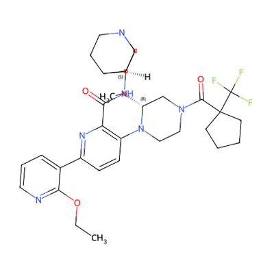 CCOc1ncccc1-c1ccc(N2CCN(C(=O)C3(C(F)(F)F)CCCC3)C[C@H]2CC)c(C(=O)N[C@@H]2CN3CCC2CC3)n1